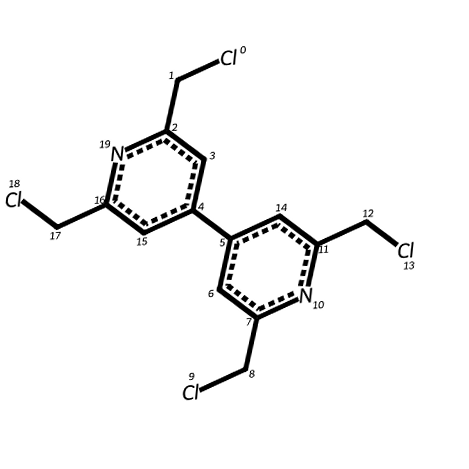 ClCc1cc(-c2cc(CCl)nc(CCl)c2)cc(CCl)n1